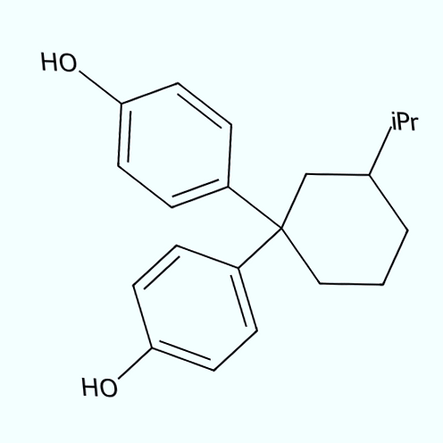 CC(C)C1CCCC(c2ccc(O)cc2)(c2ccc(O)cc2)C1